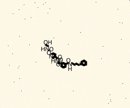 O=C(NCCO)Oc1ccc(C(=O)NS(=O)(=O)c2cccc(C(=O)NCCCCc3ccccc3)c2)cn1